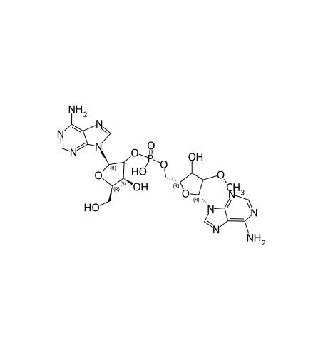 COC1C(O)[C@@H](COP(=O)(O)OC2[C@@H](O)[C@@H](CO)O[C@H]2n2cnc3c(N)ncnc32)O[C@H]1n1cnc2c(N)ncnc21